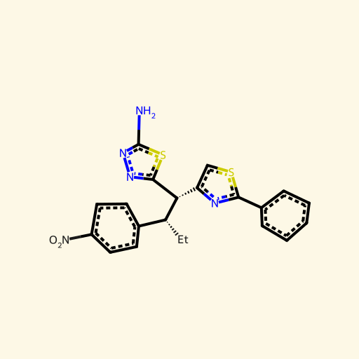 CC[C@H](c1ccc([N+](=O)[O-])cc1)[C@@H](c1csc(-c2ccccc2)n1)c1nnc(N)s1